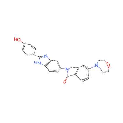 O=C1c2ccc(N3CCOCC3)cc2CN1c1ccc2[nH]c(-c3ccc(O)cc3)nc2c1